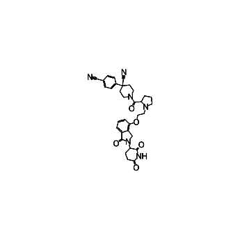 N#Cc1ccc(C2(C#N)CCN(C(=O)C3CCCN3CCOc3cccc4c3CN(C3CCC(=O)NC3=O)C4=O)CC2)cc1